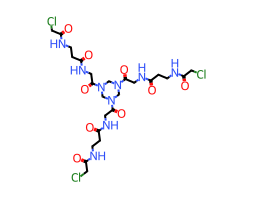 O=C(CCl)NCCC(=O)NCC(=O)N1CN(C(=O)CNC(=O)CCNC(=O)CCl)CN(C(=O)CNC(=O)CCNC(=O)CCl)C1